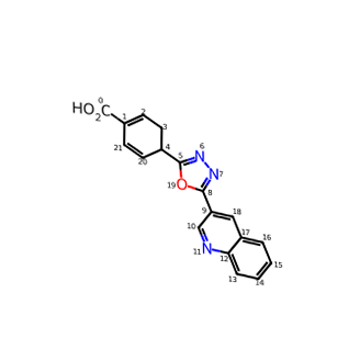 O=C(O)C1=CCC(c2nnc(-c3cnc4ccccc4c3)o2)C=C1